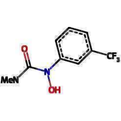 CNC(=O)N(O)c1cccc(C(F)(F)F)c1